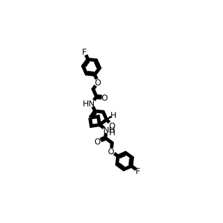 O=C(COc1ccc(F)cc1)NC1=C2CC(NC(=O)COc3ccc(F)cc3)(C2)[C@@H](O)C1